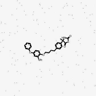 CCCc1cc(Oc2ccccc2)ccc1OCCCCc1ccc(C2(C)NC(=O)SC2=O)cc1